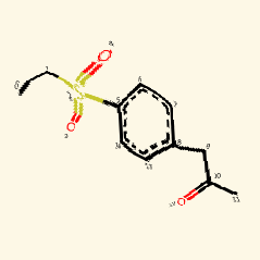 CCS(=O)(=O)c1ccc(CC(C)=O)cc1